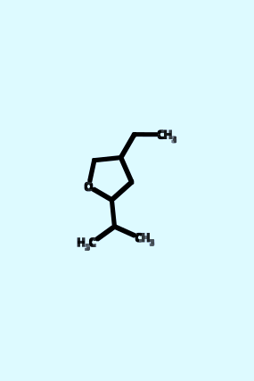 CCC1COC(C(C)C)C1